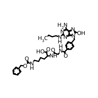 CCCCNc1nc(N)c2nc(O)n(Cc3ccc(C(=O)NCC(=O)NC(CCCCNC(=O)OCc4ccccc4)C(=O)O)cc3)c2n1